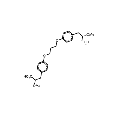 COC(Cc1ccc(OCCCOc2ccc(C[C@H](OC)C(=O)O)cc2)cc1)C(=O)O